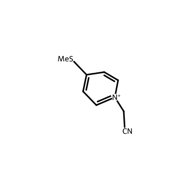 CSc1cc[n+](CC#N)cc1